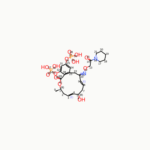 C[C@@H]1C/C=C/[C@H](O)C/C=C/C(=N/OCC(=O)N2CCCCC2)Cc2cc(OP(=O)(O)O)cc(OP(=O)(O)O)c2C(=O)O1